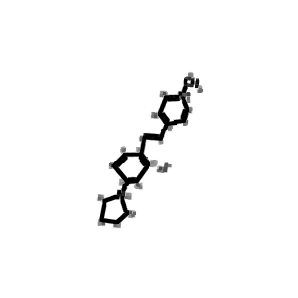 C[n+]1ccc(/C=C/c2ccc(N3CCCC3)cc2)cc1.[I-]